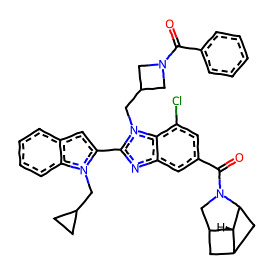 O=C(c1ccccc1)N1CC(Cn2c(-c3cc4ccccc4n3CC3CC3)nc3cc(C(=O)N4CC5CC6CC4[C@H]65)cc(Cl)c32)C1